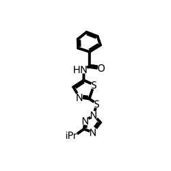 CC(C)c1ncn(Sc2ncc(NC(=O)c3ccccc3)s2)n1